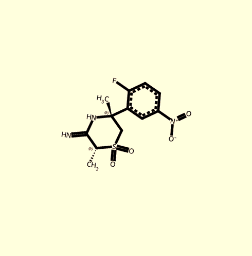 C[C@@H]1C(=N)N[C@](C)(c2cc([N+](=O)[O-])ccc2F)CS1(=O)=O